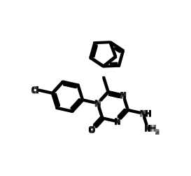 C1=CC2=CC=C1C2.Cc1nc(NN)nc(=O)n1-c1ccc(Cl)cc1